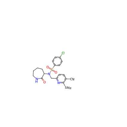 CSc1nc(CN(C2CCCCNC2=O)S(=O)(=O)c2ccc(Cl)cc2)ccc1C#N